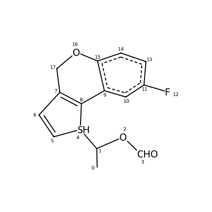 CC(OC=O)[SH]1C=CC2=C1c1cc(F)ccc1OC2